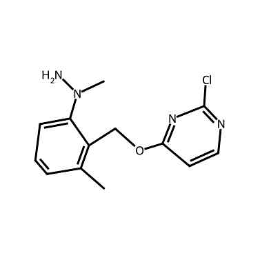 Cc1cccc(N(C)N)c1COc1ccnc(Cl)n1